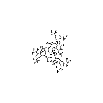 O=C(C1=C([O][Fe]([O]C2=C(C(=O)c3cc(C(F)(F)F)cc(C(F)(F)F)c3)S(=O)(=O)c3ccccc32)[O]C2=C(C(=O)c3cc(C(F)(F)F)cc(C(F)(F)F)c3)S(=O)(=O)c3ccccc32)c2ccccc2S1(=O)=O)c1cc(C(F)(F)F)cc(C(F)(F)F)c1